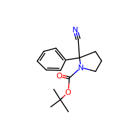 CC(C)(C)OC(=O)N1CCCC1(C#N)c1ccccc1